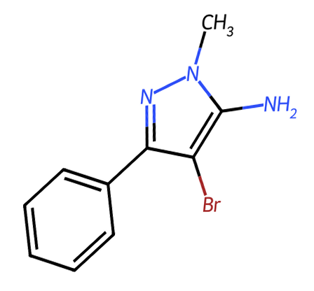 Cn1nc(-c2ccccc2)c(Br)c1N